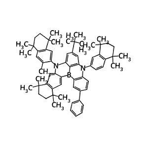 Cc1cc2c(cc1N1c3cc4c(cc3B3c5cc(-c6ccccc6)ccc5N(c5ccc6c(c5)C(C)(C)CCC6(C)C)c5cc(C(C)(C)C)cc1c53)C(C)(C)CCC4(C)C)C(C)(C)CCC2(C)C